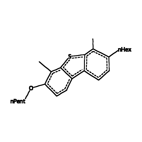 CCCCCCc1ccc2c(sc3c(C)c(OCCCCC)ccc32)c1C